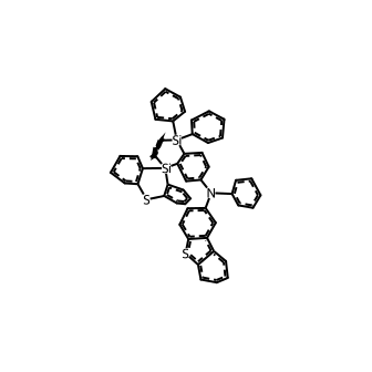 c1ccc(N(c2ccc3c(c2)[Si]2(c4ccccc4Sc4ccccc42)c2ccccc2[Si]3(c2ccccc2)c2ccccc2)c2ccc3sc4ccccc4c3c2)cc1